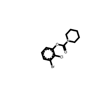 O=C(Oc1cccc(Br)c1Cl)N1CCCCC1